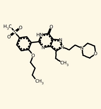 CCCCOc1ccc(S(C)(=O)=O)cc1-c1nc2c(CC)n(CCN3CCOCC3)nc2c(=O)[nH]1